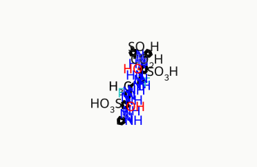 CC(CNc1nc(F)nc(Nc2cc(S(=O)(=O)O)cc(N/N=C(\N=N\c3cc(S(=O)(=O)O)ccc3C(=O)O)c3ccccc3)c2O)n1)Nc1nc(F)nc(Nc2cc(S(=O)(=O)O)cc(N/N=C(\N=N)c3ccccc3)c2O)n1